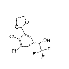 OC(c1cc(Cl)c(Cl)c(C2OCCO2)c1)C(F)(F)F